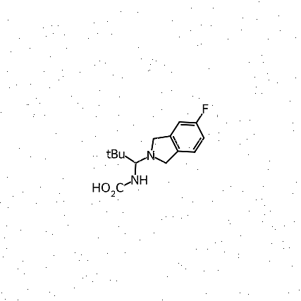 CC(C)(C)C(NC(=O)O)N1Cc2ccc(F)cc2C1